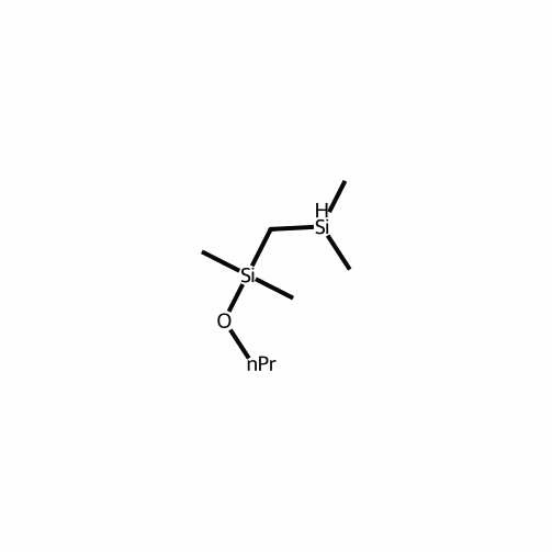 CCCO[Si](C)(C)C[SiH](C)C